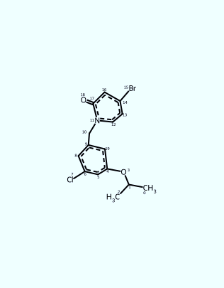 CC(C)Oc1cc(Cl)cc(Cn2ccc(Br)cc2=O)c1